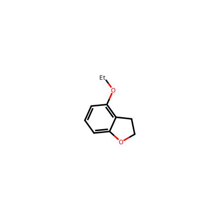 CCOc1cccc2c1CCO2